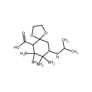 BC1(B)C(C(=O)O)C2(CN(PC(C)C)C1(B)B)OCCO2